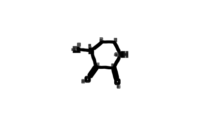 C[CH]N1CCNC(=O)C1=O